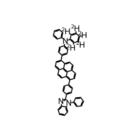 [2H]c1c([2H])c([2H])c(N(c2ccccc2)c2ccc(-c3ccc4ccc5c(-c6ccc(-c7nc8ccccc8n7-c7ccccc7)cc6)ccc6ccc3c4c65)cc2)c([2H])c1[2H]